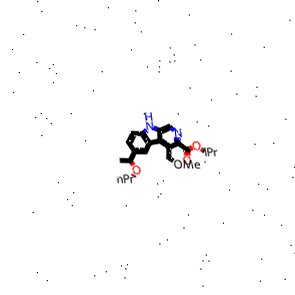 CCCOC(C)c1ccc2[nH]c3cnc(C(=O)OC(C)C)c(COC)c3c2c1